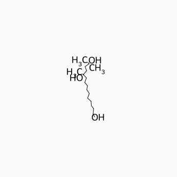 CC(C)(O)CCC(C)(O)CCCCCCCCCCO